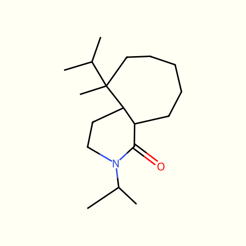 CC(C)N1CCC2C(CCCCCC2(C)C(C)C)C1=O